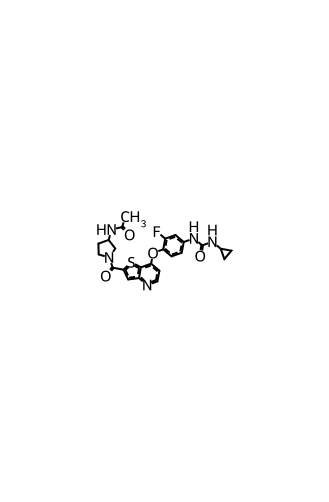 CC(=O)NC1CCN(C(=O)c2cc3nccc(Oc4ccc(NC(=O)NC5CC5)cc4F)c3s2)C1